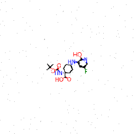 CC(C)(C)OC(=O)N[C@]1(C(=O)O)CC[C@@H](Nc2cc(F)cnc2O)CC1